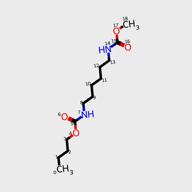 CCCCOC(=O)NCCCCCCNC(=O)OC